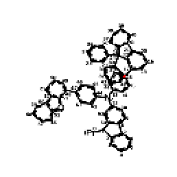 CC(C)C1c2ccccc2-c2ccc(N(c3ccc(-c4cccc5c4C(c4ccccc4)(c4ccccc4)c4ccccc4-5)cc3)c3ccc(-c4cccc5c4oc4ccccc45)cc3)cc21